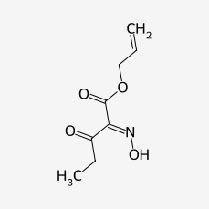 C=CCOC(=O)C(=NO)C(=O)CC